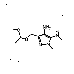 CNc1c(N)c(COC(C)OC)nn1C